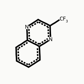 FC(F)(F)c1cnc2ccccc2n1